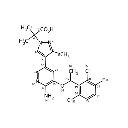 Cc1nn(C(C)(C)C(=O)O)cc1-c1cnc(N)c(OC(C)c2c(Cl)ccc(F)c2Cl)c1